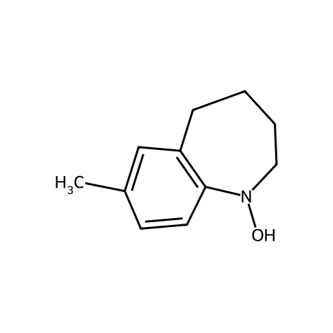 Cc1ccc2c(c1)CCCCN2O